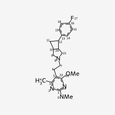 CNc1nc(C)c(CCN2CC3CC(c4ccc(F)cc4)C3C2)c(OC)n1